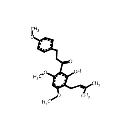 COc1ccc(CCC(=O)c2c(OC)cc(OC)c(CC=C(C)C)c2O)cc1